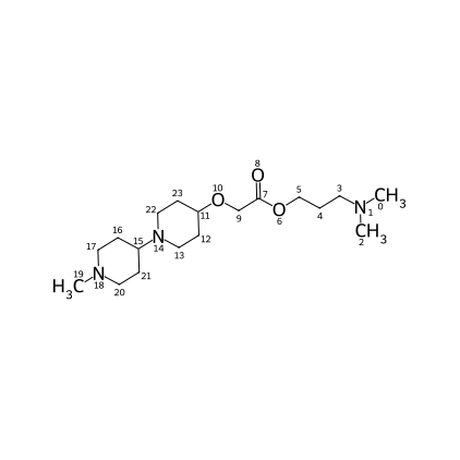 CN(C)CCCOC(=O)COC1CCN(C2CCN(C)CC2)CC1